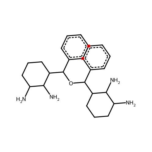 NC1CCCC(C(OC(c2ccccc2)C2CCCC(N)C2N)c2ccccc2)C1N